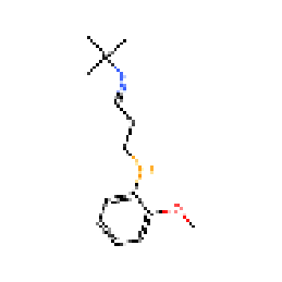 COc1ccccc1PCCC=NC(C)(C)C